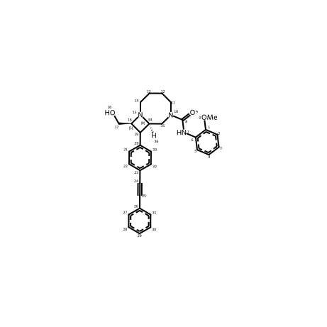 COc1ccccc1NC(=O)N1CCCCN2[C@H](CO)C(c3ccc(C#Cc4ccccc4)cc3)[C@@H]2C1